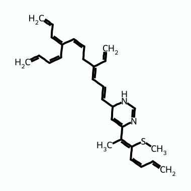 C=C/C=C\C(SC)=C(/C)C1=CC(/C=C/C=C(\C=C)C\C=C/C(/C=C\C=C)=C\C=C)NC=N1